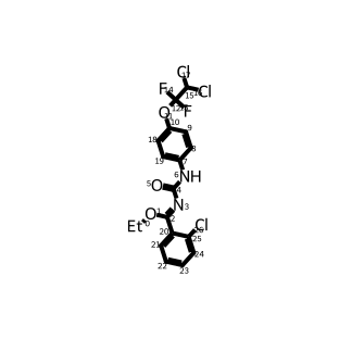 CCO/C(=N\C(=O)Nc1ccc(OC(F)(F)C(Cl)Cl)cc1)c1ccccc1Cl